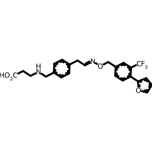 O=C(O)CCNCc1ccc(CC=NOCc2ccc(-c3ccco3)c(C(F)(F)F)c2)cc1